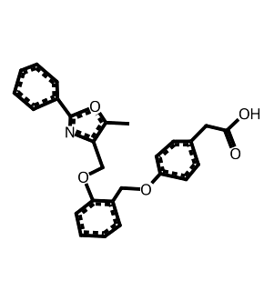 Cc1oc(-c2ccccc2)nc1COc1ccccc1COc1ccc(CC(=O)O)cc1